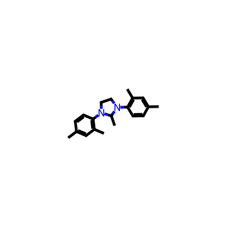 Cc1ccc(N2CCN(c3ccc(C)cc3C)C2C)c(C)c1